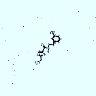 NCc1nc(C(=O)NCCc2cccc(Cl)c2)cs1